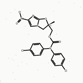 C[C@@]1(COC(=O)N(c2ccc(Cl)cc2)c2ccc(Cl)cc2)Cn2cc([N+](=O)[O-])nc2O1